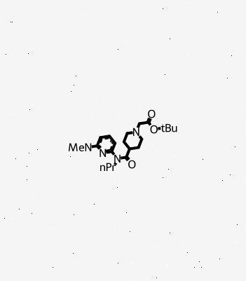 CCCN(C(=O)C1CCN(CC(=O)OC(C)(C)C)CC1)c1cccc(NC)n1